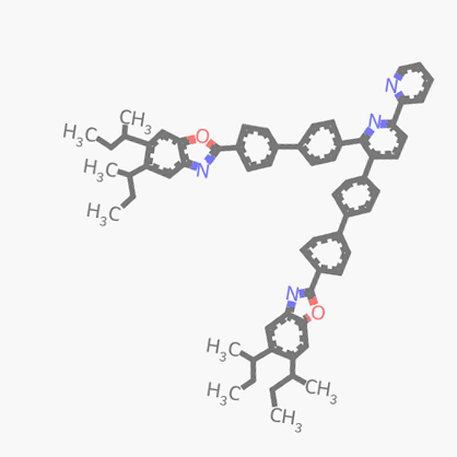 CCC(C)c1cc2nc(-c3ccc(-c4ccc(-c5ccc(-c6ccccn6)nc5-c5ccc(-c6ccc(-c7nc8cc(C(C)CC)c(C(C)CC)cc8o7)cc6)cc5)cc4)cc3)oc2cc1C(C)CC